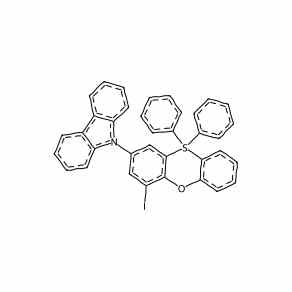 Ic1cc(-n2c3ccccc3c3ccccc32)cc2c1Oc1ccccc1S2(c1ccccc1)c1ccccc1